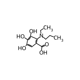 CCCN(CC)c1c(C(=O)O)cc(O)c(O)c1O